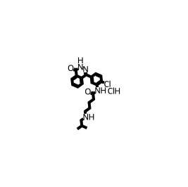 CC(C)CNCCCCC(=O)Nc1cc(-c2n[nH]c(=O)c3ccccc23)ccc1Cl.Cl